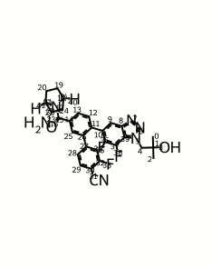 CC(C)(O)Cn1nnc2cc(-c3ccc(C(=O)N4[C@@H]5CC[C@H]4[C@@H](N)C5)cc3-c3ccc(C#N)c(F)c3)c(F)c(F)c21